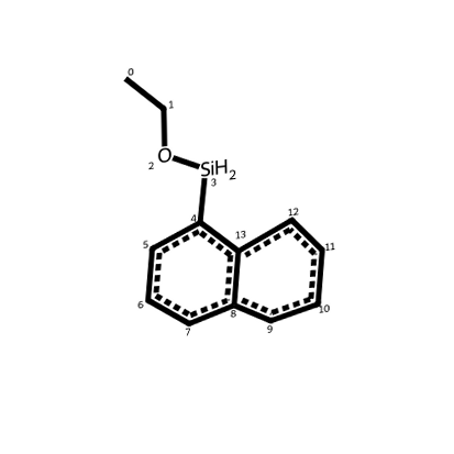 CCO[SiH2]c1cccc2ccccc12